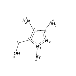 CC(C)n1nc(N)c(N)c1CO